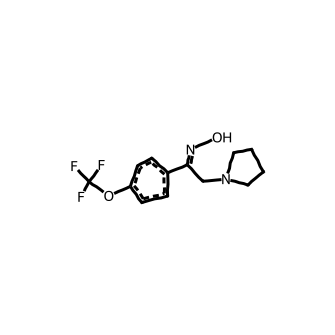 ON=C(CN1CCCC1)c1ccc(OC(F)(F)F)cc1